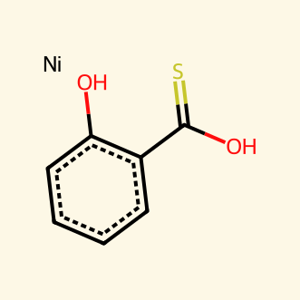 OC(=S)c1ccccc1O.[Ni]